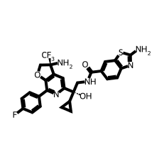 Nc1nc2ccc(C(=O)NC[C@](O)(c3cc4c(c(-c5ccc(F)cc5)n3)OC[C@@]4(N)C(F)(F)F)C3CC3)cc2s1